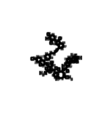 CN1CC[C@H]2CC[C@@H](C(=O)N[C@H](C=O)C(N[C@H](C=O)C(c3ccc(Cl)cc3)N3CCC(CCC#Cc4cccc5c4CN(C4CCC(=O)NC4=O)C5=O)CC3)OC(N)=O)N2C(=O)[C@@H](NC(=O)c2cc3cc(C(F)(F)P(=O)(O)O)ccc3s2)C1